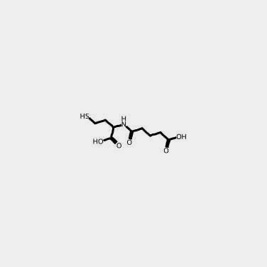 O=C(O)CCCC(=O)NC(CCS)C(=O)O